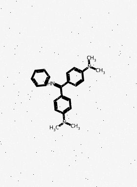 CN(C)c1ccc(C(=N)c2ccc(N(C)C)cc2)cc1.c1ccccc1